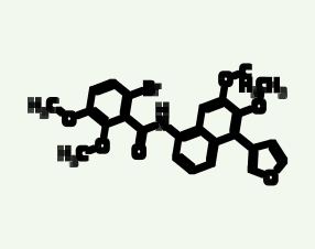 COc1ccc(Br)c(C(=O)Nc2cccc3c(-c4ccoc4)c(OC)c(OC)cc23)c1OC